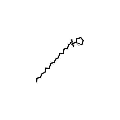 CCCCCCCCCCCCCCCC[Si](C)(C)C1CCCCO1